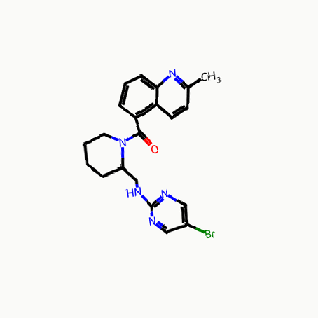 Cc1ccc2c(C(=O)N3CCCCC3CNc3ncc(Br)cn3)cccc2n1